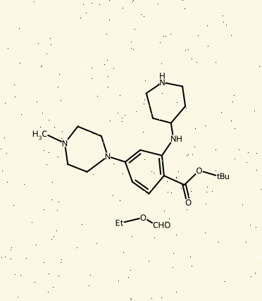 CCOC=O.CN1CCN(c2ccc(C(=O)OC(C)(C)C)c(NC3CCNCC3)c2)CC1